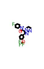 CN(C(=O)c1c(-c2cccc(OC(F)(F)F)c2)nc2ncccn12)c1ccc(F)cc1